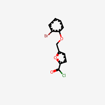 O=C(Cl)c1ccc(COc2ccccc2Br)o1